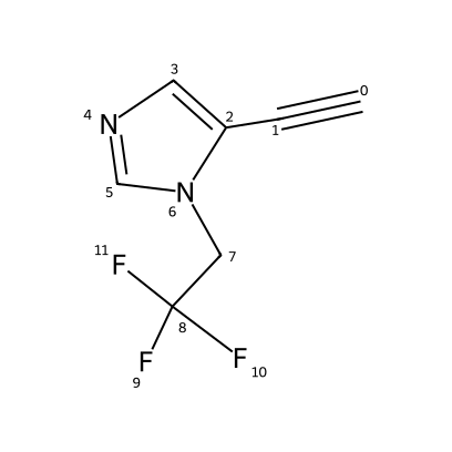 C#Cc1cncn1CC(F)(F)F